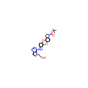 CC(C)(C)OC(=O)N1CCc2c(Oc3ccc(Nc4ncnc5ccn(CCO)c45)cc3Cl)cccc21